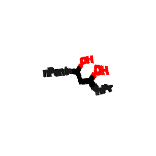 CCCCCC(O)CC(O)CCC